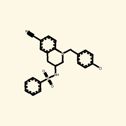 N#Cc1ccc2c(c1)CC(NS(=O)(=O)c1ccccc1)CN2Cc1ccc(Cl)cc1